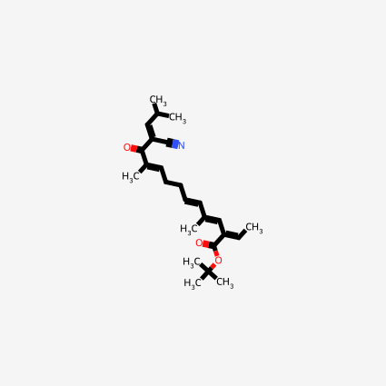 C\C=C(/C=C(C)/C=C/CC/C=C(\C)C(=O)/C(C#N)=C/C(C)C)C(=O)OC(C)(C)C